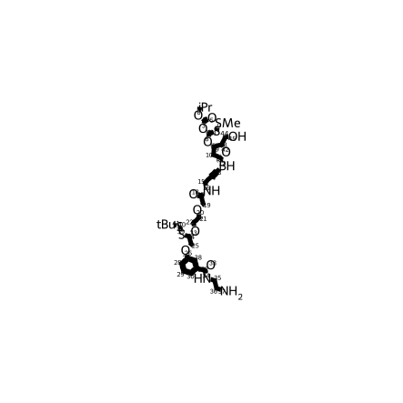 CSS[C@@H](OC(=O)OC(C)C)O[C@@H]1C[C@H](BC#CCNC(=O)COCCOC(COc2cccc(C(=O)NCCN)c2)SSC(C)(C)C)OC1CO